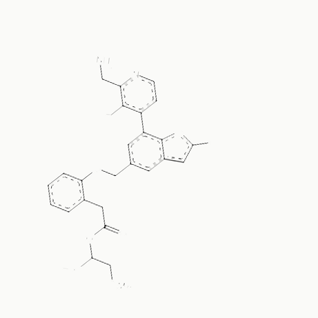 COCC(C)OC(=O)Cc1ccccc1OCc1cc(-c2ccnc(CN)c2F)c2oc(C)cc2c1